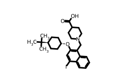 CC(C)(C)[C@H]1CC[C@H](Oc2cc(I)c3ccccc3c2CN2CCC(C(=O)O)CC2)CC1